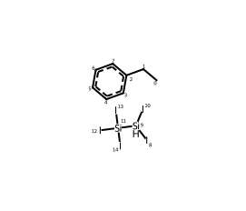 CCc1ccccc1.I[SiH](I)[Si](I)(I)I